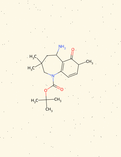 CC1C=CC2=C(C1=O)C(N)CC(C)(C)CN2C(=O)OC(C)(C)C